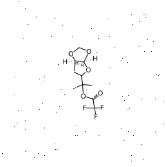 CC(C)(OC(=O)C(F)(F)F)C1C[C@H]2OCO[C@H]2O1